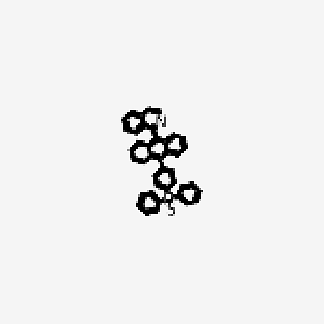 S=P(c1ccccc1)(c1ccccc1)c1ccc(-c2c3ccccc3c(-c3nccc4ccccc34)c3ccccc23)cc1